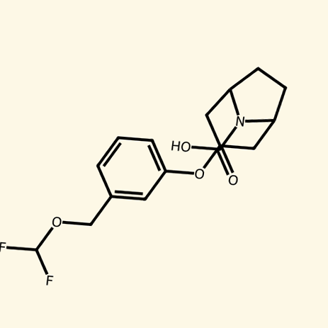 O=C(O)N1C2CCC1CC(Oc1cccc(COC(F)F)c1)C2